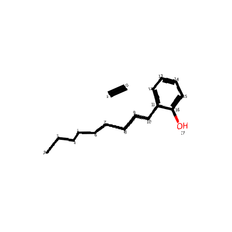 C#C.CCCCCCCCCc1ccccc1O